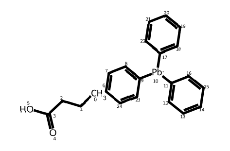 CCCC(=O)O.c1cc[c]([Pb]([c]2ccccc2)[c]2ccccc2)cc1